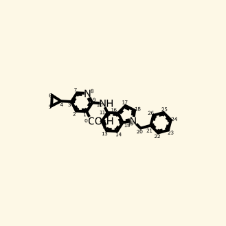 O=C(O)c1cc(C2CC2)cnc1Nc1cccc2c1ccn2Cc1ccccc1